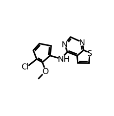 COc1c(Cl)cccc1Nc1ncnc2sccc12